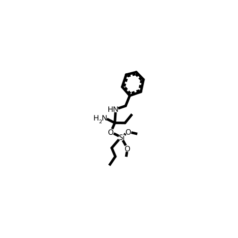 CCC[Si](OC)(OC)OC(N)(CC)NCc1ccccc1